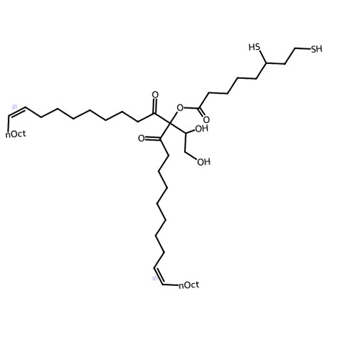 CCCCCCCC/C=C\CCCCCCCC(=O)C(OC(=O)CCCCC(S)CCS)(C(=O)CCCCCCC/C=C\CCCCCCCC)C(O)CO